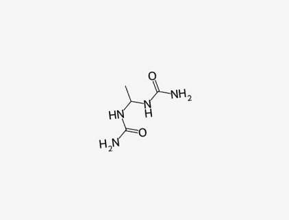 CC(NC(N)=O)NC(N)=O